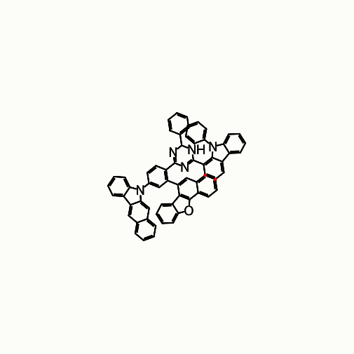 c1ccc(C2N=C(c3ccc(-n4c5ccccc5c5cc6ccccc6cc54)cc3-c3cc4ccccc4c4oc5ccccc5c34)N=C(c3cccc4c5ccccc5n(-c5ccccc5)c34)N2)cc1